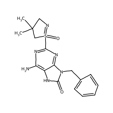 CC1(C)CN=S(=O)(c2nc(N)c3[nH]c(=O)n(Cc4ccccc4)c3n2)C1